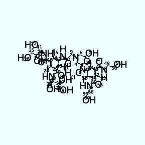 CN(C(=O)CN(CCO)CC(=O)Nc1c(I)c(C(=O)NC(CO)C(O)CO)c(I)c(C(=O)NC(CO)C(O)CO)c1I)c1c(I)c(C(=O)NCCO)c(I)c(C(=O)NCCO)c1I